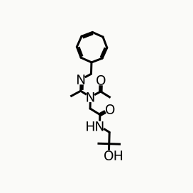 CC(=O)N(CC(=O)NCC(C)(C)O)/C(C)=N\CC1C=C/C=C\C/C=C\1